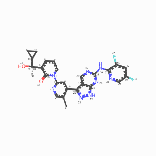 Cc1cnc(-n2cccc([C@@](C)(O)C3CC3)c2=O)cc1-c1n[nH]c2nc(Nc3ncc(F)cc3F)ncc12